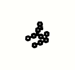 c1ccc(-c2ccc(-c3cccc(-c4ccccc4)c3-c3ccc(N(c4ccc(C5CCCCC5)cc4)c4ccc5c(c4)sc4ccccc45)cc3)cc2)cc1